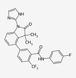 CC1(C)C(=O)N(c2ncc[nH]2)c2cccc(-c3ccc(C(F)(F)F)c(C(=O)Nc4ccc(F)cc4)c3)c21